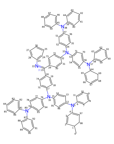 CC1C=CC(N(c2ccccc2)c2ccc(N(c3ccc(/C(=N/c4ccccc4)c4ccc(N(c5ccc(N(c6ccccc6)c6ccccc6)cc5)c5ccc(N(c6ccccc6)C6C=CC=CC6)cc5)cc4)cc3)c3ccc(N(c4ccccc4)c4ccccc4)cc3)cc2)=CC1